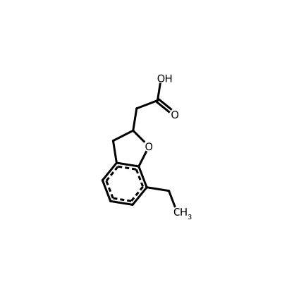 CCc1cccc2c1OC(CC(=O)O)C2